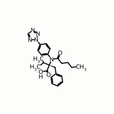 CCCCC(=O)N(c1ccc(-n2ncnn2)cc1)[C@](Cc1ccccc1)(C(=O)O)C(C)C